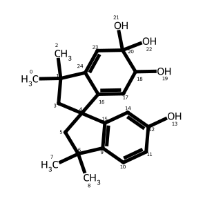 CC1(C)CC2(CC(C)(C)c3ccc(O)cc32)C2=CC(O)C(O)(O)C=C21